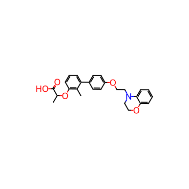 Cc1c(OC(C)C(=O)O)cccc1-c1ccc(OCCN2CCOc3ccccc32)cc1